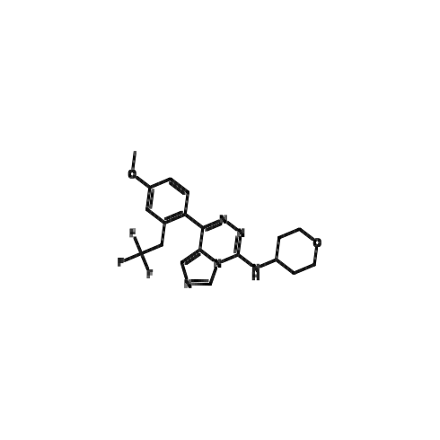 COc1ccc(-c2nnc(NC3CCOCC3)n3cncc23)c(CC(F)(F)F)c1